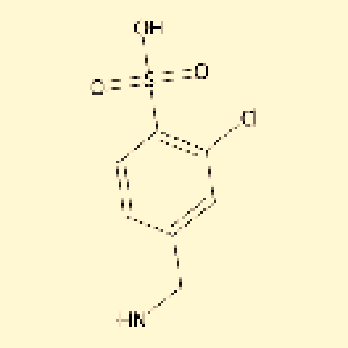 [NH]Cc1ccc(S(=O)(=O)O)c(Cl)c1